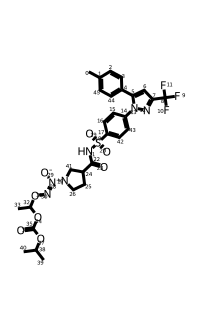 Cc1ccc(-c2cc(C(F)(F)F)nn2-c2ccc(S(=O)(=O)NC(=O)C3CCN(/[N+]([O-])=N/OC(C)OC(=O)OC(C)C)C3)cc2)cc1